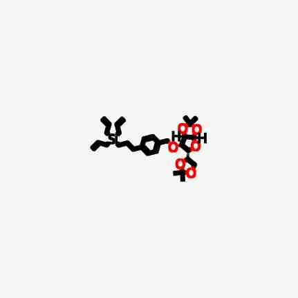 C=CC[Si](CC=C)(CC=C)CCCc1ccc(CO[C@@H]2[C@H]3OC(C)(C)O[C@H]3O[C@@H]2C2COC(C)(C)O2)cc1